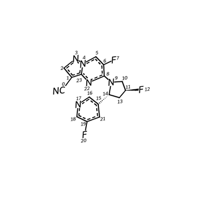 N#Cc1cnn2cc(F)c(N3C[C@@H](F)C[C@@H]3c3cncc(F)c3)nc12